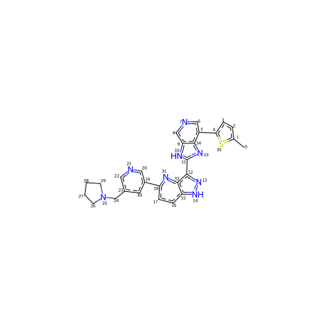 Cc1ccc(-c2cncc3[nH]c(-c4n[nH]c5ccc(-c6cncc(CN7CCCC7)c6)nc45)nc23)s1